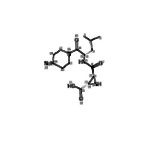 CC(C)C[C@H](NC(=O)[C@H]1N[C@@H]1C(=O)O)C(=O)N1CCCCC1.[NaH]